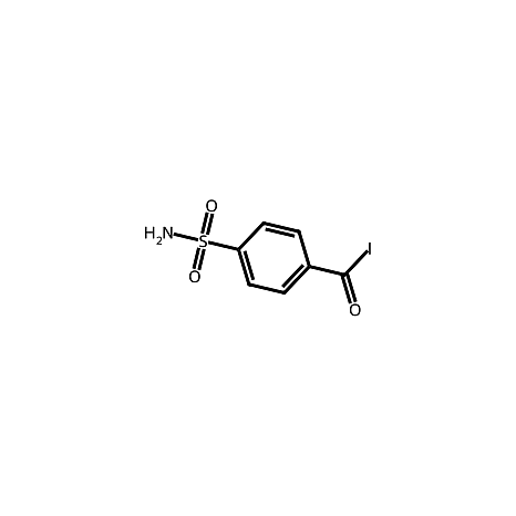 NS(=O)(=O)c1ccc(C(=O)I)cc1